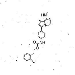 CNc1nccn2c(-c3ccc(NC(=O)OCCc4ccccc4Cl)cc3)cnc12